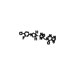 Cn1cnc2ncn(Cc3nc([C@@H]4[C@@H]5CN(c6ccc(Cl)c(F)c6)C[C@@H]54)no3)c(=O)c21